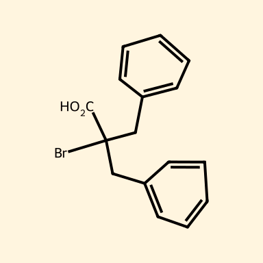 O=C(O)C(Br)(Cc1ccccc1)Cc1ccccc1